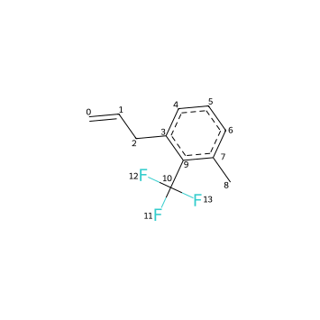 C=CCc1cccc(C)c1C(F)(F)F